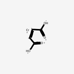 O=C(O)/C=C\C(=O)O.[Cr]